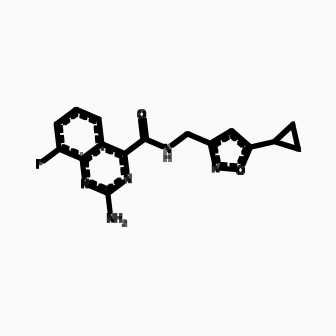 Nc1nc(C(=O)NCc2cc(C3CC3)on2)c2cccc(F)c2n1